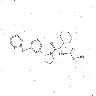 CC(C)(C)OC(=O)N[C@H](C(=O)N1CCCC1c1cccc(Oc2ccccc2)c1)C1CCCCC1